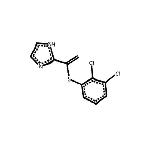 C=C(Sc1cccc(Cl)c1Cl)c1ncc[nH]1